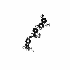 COc1ccc2[nH]c(C)c(CC(=O)Oc3ccc(C(=O)OCCN4CCN(C(C)(C)C(N)=O)CC4)cc3)c2c1.Cl.Cl